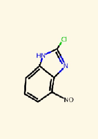 O=Nc1cccc2[nH]c(Cl)nc12